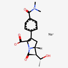 C[C@@H](O)[C@H]1C(=O)N2C(C(=O)[O-])=C(c3ccc(C(=O)N(C)C)cc3)C[C@H]12.[Na+]